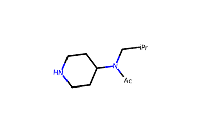 CC(=O)N(CC(C)C)C1CCNCC1